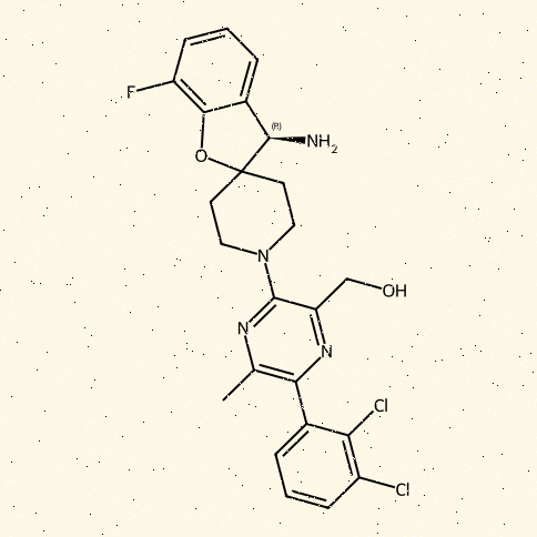 Cc1nc(N2CCC3(CC2)Oc2c(F)cccc2[C@H]3N)c(CO)nc1-c1cccc(Cl)c1Cl